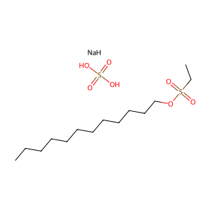 CCCCCCCCCCCCOS(=O)(=O)CC.O=S(=O)(O)O.[NaH]